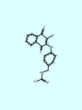 N=C(N)NCc1ccc(NC2=C(Cl)C(=O)c3ccccc3C2=O)cc1